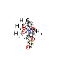 COCC(COC)N(c1ccc(Oc2sc(C=O)cc2C2CC2)cc1C)C(=O)[C@H]1CC[C@H](C)CC1